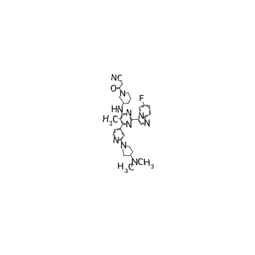 Cc1c(NC2CCCN(C(=O)CC#N)C2)nc(-c2cnc3ccc(F)cn23)nc1-c1ccnc(N2CCC(N(C)C)CC2)c1